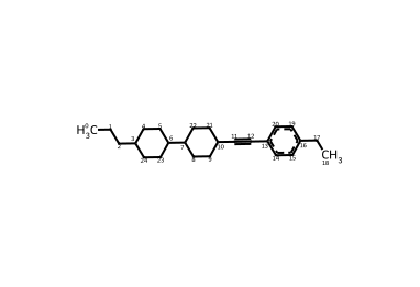 CCCC1CCC(C2CCC(C#Cc3ccc(CC)cc3)CC2)CC1